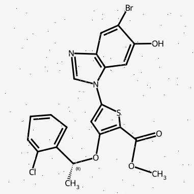 COC(=O)c1sc(-n2cnc3cc(Br)c(O)cc32)cc1O[C@H](C)c1ccccc1Cl